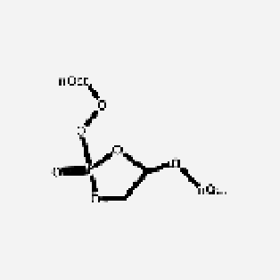 CCCCCCCCOOP1(=O)OCC(OCCCCCCCC)O1